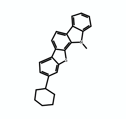 Cn1c2ccccc2c2ccc3c4ccc(C5CCCCC5)cc4sc3c21